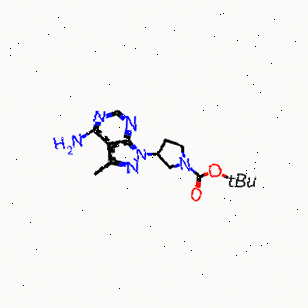 Cc1nn(C2CCN(C(=O)OC(C)(C)C)C2)c2ncnc(N)c12